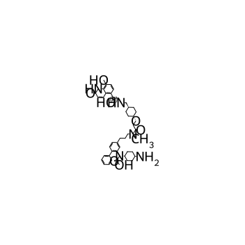 CN(CCCc1ccc(-c2ccccc2)c(N(C(=O)O)[C@H]2CC[C@H](N)CC2)c1)C(=O)CO[C@H]1CC[C@H](CNC[C@H](O)c2ccc(O)c3[nH]c(=O)ccc23)CC1